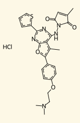 CC1=CC(=O)N(Nc2nc(-c3cccs3)nc3oc(-c4ccc(OCCN(C)C)cc4)c(C)c23)C1=O.Cl